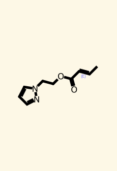 C/C=C/C(=O)OCCn1cccn1